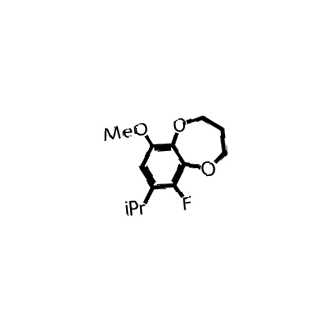 COc1cc(C(C)C)c(F)c2c1OCCCO2